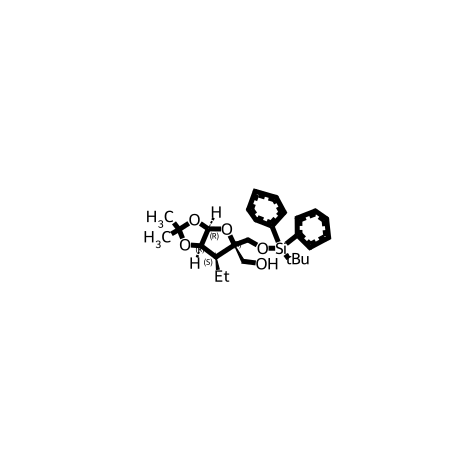 CC[C@H]1[C@H]2OC(C)(C)O[C@H]2O[C@]1(CO)CO[Si](c1ccccc1)(c1ccccc1)C(C)(C)C